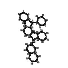 c1ccc(-n2c3ccccc3c3ccc4c(c5ccccc5n4-c4ccc5ccccc5c4)c32)cc1